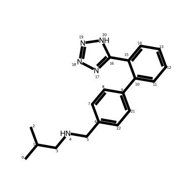 CC(C)CNCc1ccc(-c2ccccc2-c2nnn[nH]2)cc1